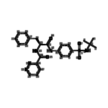 CC(C)(C)NS(=O)(=O)c1ccc(NC(=O)[C@H](Cc2ccccc2)NC(=O)c2cccnn2)cc1